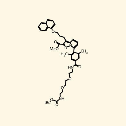 COC(=O)c1nn2c(-c3c(C)cc(C(=O)NCCOCCOCCNC(=O)OC(C)(C)C)cc3C)cccc2c1CCCOc1cccc2ccccc12